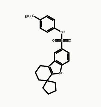 CCOC(=O)c1ccc(NS(=O)(=O)c2ccc3[nH]c4c(c3c2)CCCC42CCCC2)cc1